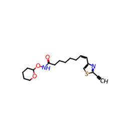 C#Cc1nc(/C=C\CCCCCC(=O)NOC2CCCCO2)cs1